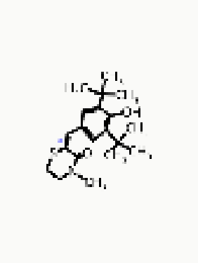 CN1CCS/C(=C/c2cc(C(C)(C)C)c(O)c(C(C)(C)C)c2)C1=O